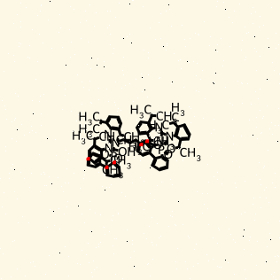 CC(C)c1cccc(C(C)C)c1/N=C1\N(CCCCCCN2/C(=N\c3c(C(C)C)cccc3C(C)C)N3c4c(C(C)C)cccc4C(C)OC23P2(=O)Oc3ccccc3-c3ccccc32)C(O)(P2(=O)Oc3ccccc3-c3ccccc32)N1c1c(C(C)C)cccc1C(C)C